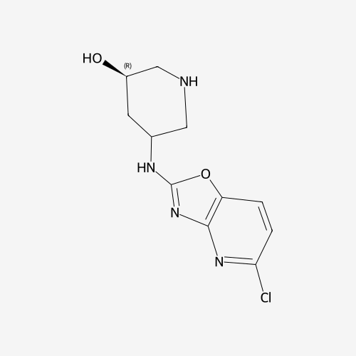 O[C@H]1CNCC(Nc2nc3nc(Cl)ccc3o2)C1